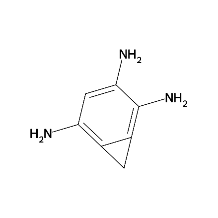 Nc1cc(N)c2c(c1N)C2